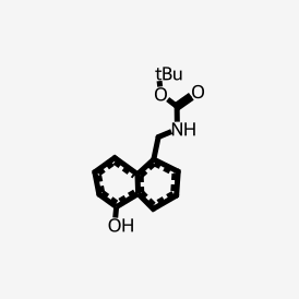 CC(C)(C)OC(=O)NCc1cccc2c(O)cccc12